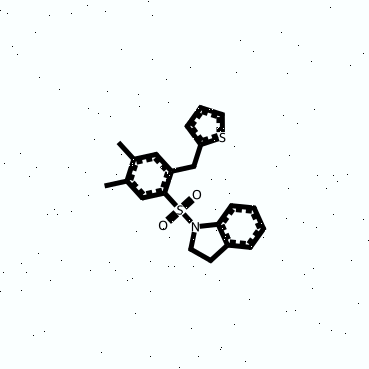 Cc1cc(Cc2cccs2)c(S(=O)(=O)N2CCc3ccccc32)cc1C